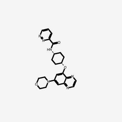 O=C(N[C@H]1CC[C@@H](Oc2cc(N3CCOCC3)cc3nccnc23)CC1)c1cccnn1